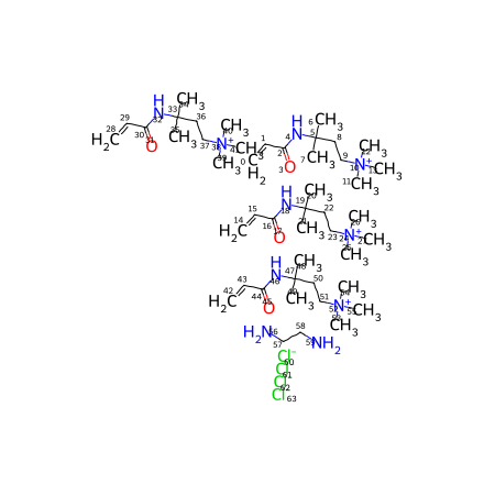 C=CC(=O)NC(C)(C)CC[N+](C)(C)C.C=CC(=O)NC(C)(C)CC[N+](C)(C)C.C=CC(=O)NC(C)(C)CC[N+](C)(C)C.C=CC(=O)NC(C)(C)CC[N+](C)(C)C.NCCN.[Cl-].[Cl-].[Cl-].[Cl-]